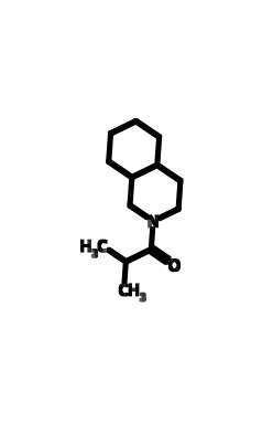 CC(C)C(=O)N1CCC2CCCCC2C1